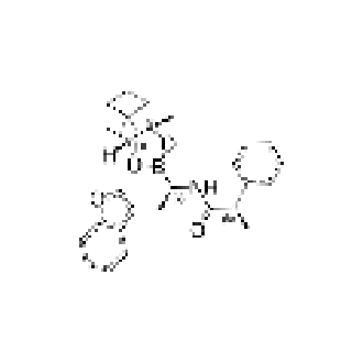 C[C@@H](C(=O)N[C@@H](Cc1coc2ccccc12)B1O[C@@H]2CC3CC(C3(C)C)[C@]2(C)O1)c1ccccc1